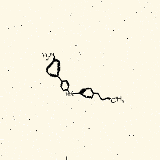 CCCCc1ccc(Nc2ccc(-c3ccc(N)cc3)cc2)cc1